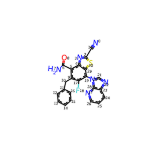 N#Cc1nc2c(C(N)=O)c(Cc3ccccc3)c(F)c(-n3cnc4cccnc43)c2s1